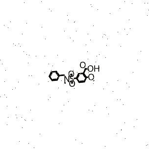 COc1ccc(S(=O)(=O)N(C)Cc2ccccc2)cc1C(=O)O